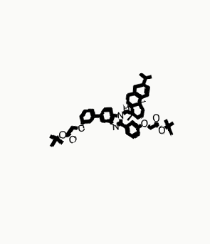 CC(C)c1ccc2c(c1)CC[C@H]1[C@@](C)(Cn3c(-c4cccc(OCC(=O)OC(C)(C)C)c4)nc4cc(-c5cccc(OCC(=O)OC(C)(C)C)c5)ccc43)CCC[C@]21C